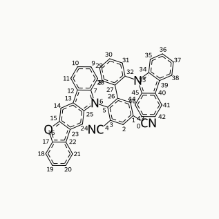 N#Cc1cc(C#N)c(-n2c3ccccc3c3cc4oc5ccccc5c4cc32)c(-c2ccccc2-n2c3ccccc3c3ccccc32)c1